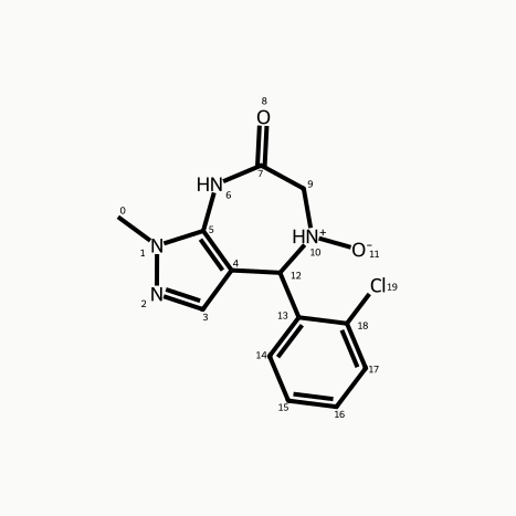 Cn1ncc2c1NC(=O)C[NH+]([O-])C2c1ccccc1Cl